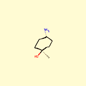 C[C@]1(O)CC[C@H](N)CC1